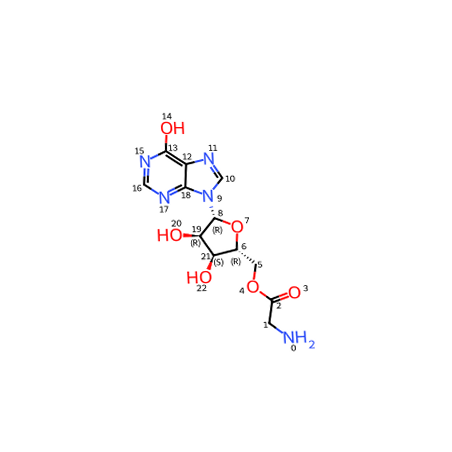 NCC(=O)OC[C@H]1O[C@@H](n2cnc3c(O)ncnc32)[C@H](O)[C@@H]1O